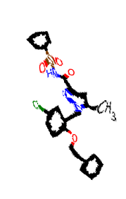 Cc1cc(C(=O)NS(=O)(=O)c2ccccc2)nn1Cc1cc(Cl)ccc1OCc1ccccc1